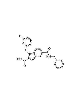 O=C(NCc1ccccc1)c1ccc2c(c1)cc(C(=O)O)n2Cc1cccc(F)c1